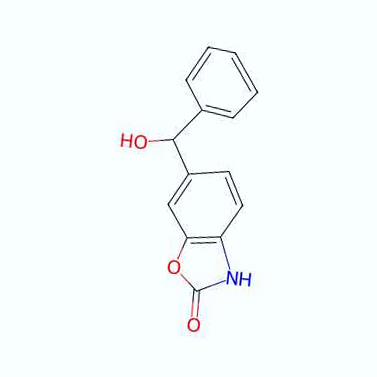 O=c1[nH]c2ccc(C(O)c3ccccc3)cc2o1